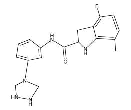 Cc1ccc(F)c2c1NC(C(=O)Nc1cccc(N3CNNC3)c1)C2